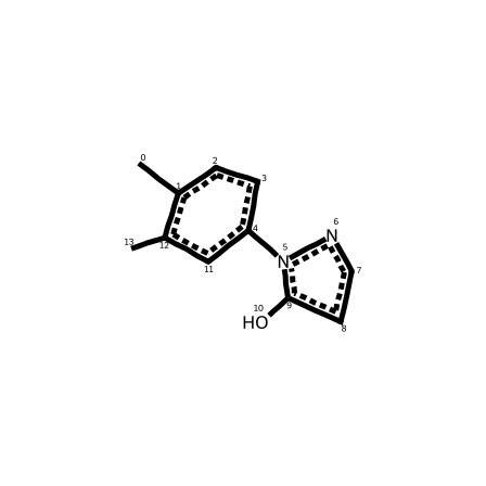 Cc1ccc(-n2nccc2O)cc1C